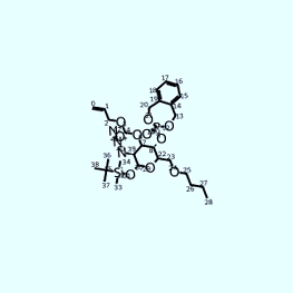 C=CCOC(=O)OC1[C@H](OP2(=O)OCc3ccccc3CO2)C(COCCCC)O[C@@H](O[Si](C)(C)C(C)(C)C)[C@H]1N=[N+]=[N-]